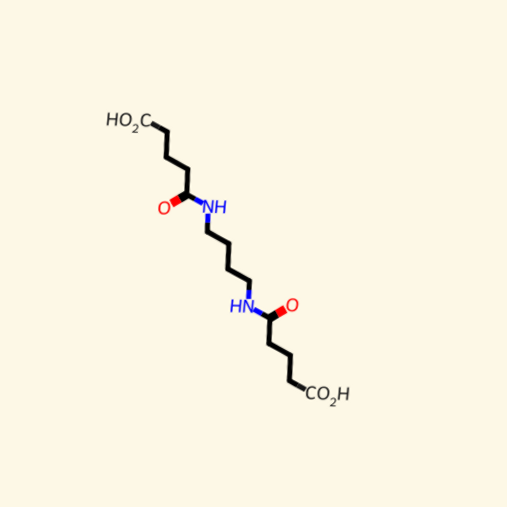 O=C(O)CCCC(=O)NCCCCNC(=O)CCCC(=O)O